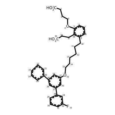 O=C(O)CCCOc1cccc(CCCCCCOc2cc(-c3ccccc3)cc(-c3cccc(F)c3)c2)c1CCC(=O)O